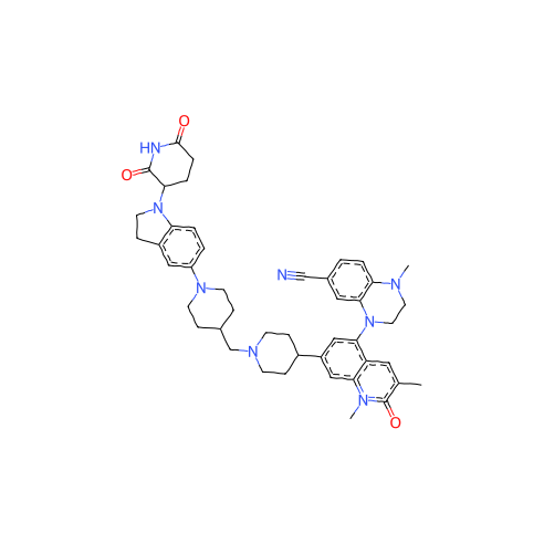 Cc1cc2c(N3CCN(C)c4ccc(C#N)cc43)cc(C3CCN(CC4CCN(c5ccc6c(c5)CCN6C5CCC(=O)NC5=O)CC4)CC3)cc2n(C)c1=O